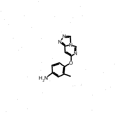 Cc1cc(N)ccc1Oc1cc2nncn2cn1